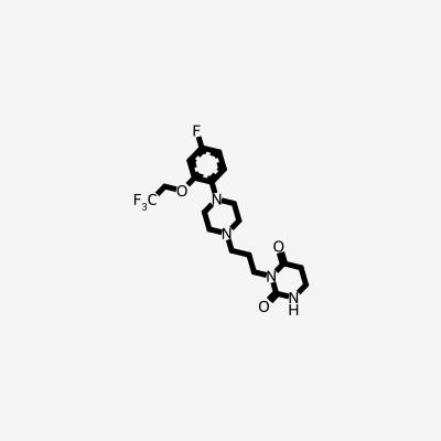 O=C1CCNC(=O)N1CCCN1CCN(c2ccc(F)cc2OCC(F)(F)F)CC1